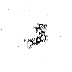 C[C@H](Nc1ccc2c(c1)OCCn1cc(N3C(C(F)F)CCS3(=O)=O)nc1-2)C(N)=O